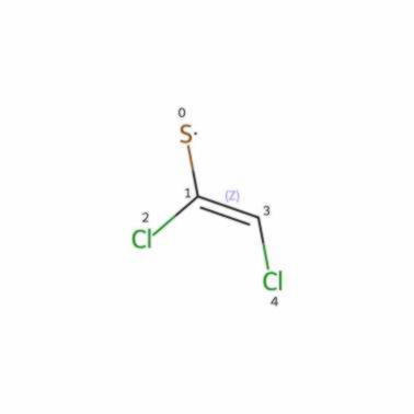 [S]/C(Cl)=C/Cl